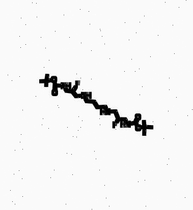 CC(C)(C)OC(=O)NCC(F)CNCCCCNCC(F)CNC(=O)OC(C)(C)C